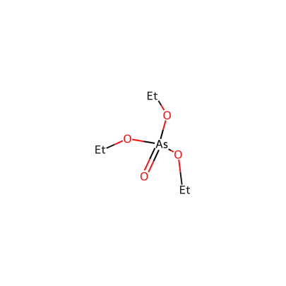 CCO[As](=O)(OCC)OCC